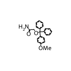 COc1ccc(C(OCC(N)=O)(c2ccccc2)c2ccccc2)cc1